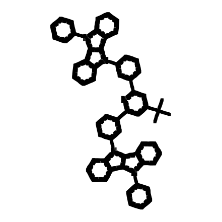 CC(C)(C)c1cc(-c2cccc(-n3c4ccccc4c4c3c3ccccc3n4-c3ccccc3)c2)nc(-c2cccc(-n3c4ccccc4c4c3c3ccccc3n4-c3ccccc3)c2)c1